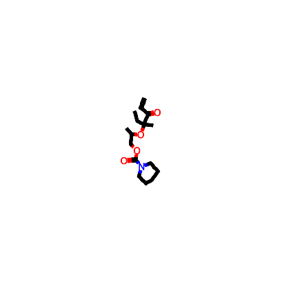 C=CC(=O)C(C)(CC)OC(C)COC(=O)N1CCCCC1